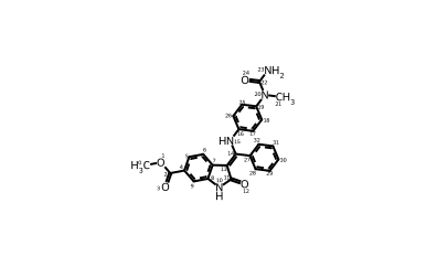 COC(=O)c1ccc2c(c1)NC(=O)C2=C(Nc1ccc(N(C)C(N)=O)cc1)c1ccccc1